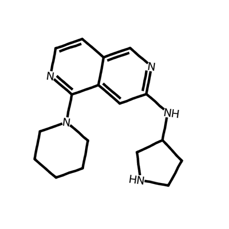 c1cc2cnc(NC3CCNC3)cc2c(N2CCCCC2)n1